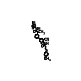 CCc1cnc(NC(=O)[C@@H](C)c2cccc(-c3cnc(NC(=O)/C=C/CN4CCN(C)CC4)c(C#N)c3)c2)s1